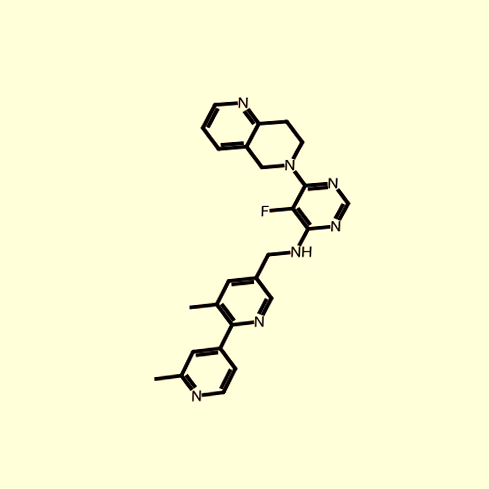 Cc1cc(-c2ncc(CNc3ncnc(N4CCc5ncccc5C4)c3F)cc2C)ccn1